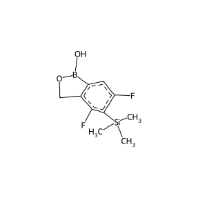 C[Si](C)(C)c1c(F)cc2c(c1F)COB2O